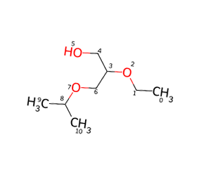 CCOC(CO)COC(C)C